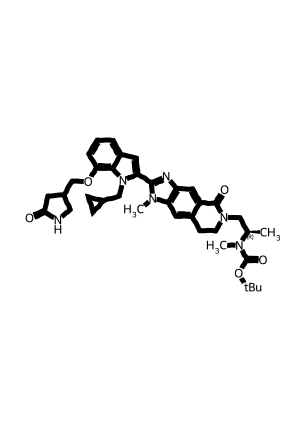 C[C@H](CN1CCc2cc3c(cc2C1=O)nc(-c1cc2cccc(OCC4CNC(=O)C4)c2n1CC1CC1)n3C)N(C)C(=O)OC(C)(C)C